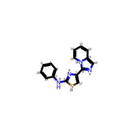 c1ccc(Nc2nc(-c3ncc4ccccn34)cs2)cc1